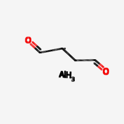 O=C[CH]CC=O.[AlH3]